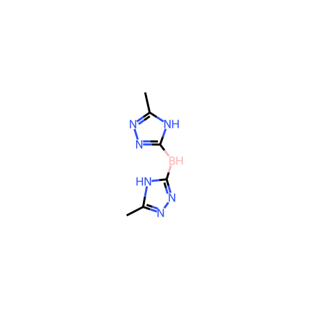 Cc1nnc(Bc2nnc(C)[nH]2)[nH]1